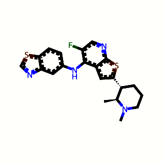 C[C@H]1[C@H](c2cc3c(Nc4ccc5scnc5c4)c(F)cnc3s2)CCCN1C